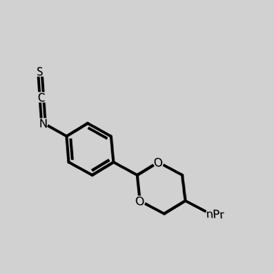 CCCC1COC(c2ccc(N=C=S)cc2)OC1